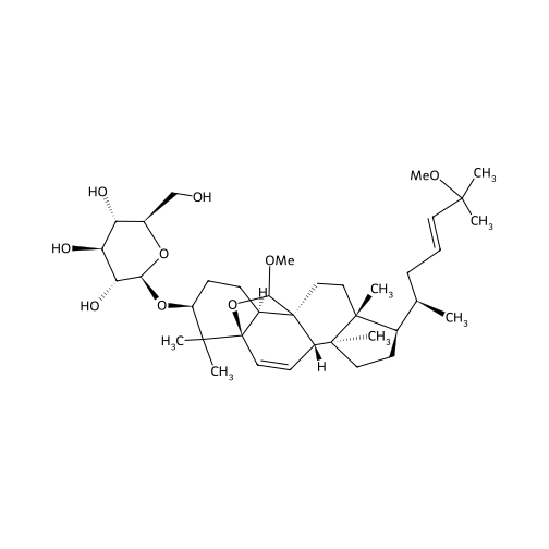 COC1O[C@]23C=C[C@@H]4[C@@]1(CC[C@]1(C)[C@@H]([C@H](C)C/C=C/C(C)(C)OC)CC[C@@]41C)[C@@H]2CC[C@H](O[C@@H]1O[C@H](CO)[C@@H](O)[C@H](O)[C@H]1O)C3(C)C